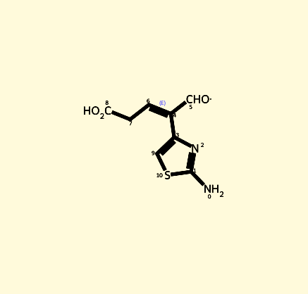 Nc1nc(/C([C]=O)=C\CC(=O)O)cs1